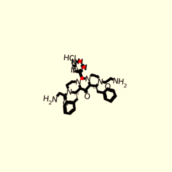 Cl.NCC(=O)N1CCN(CC2N=NN=N2)C(C(=O)C2[C@H](Cc3ccccc3)N(C(=O)CN)CCN2CC2N=NN=N2)[C@@H]1Cc1ccccc1